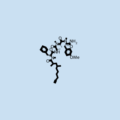 C#CCCCCC(C)CC(C)C(=O)N(C)[C@@H](Cc1ccccc1)C(=O)N[C@@H](C)C(=O)N(C)[C@@H](C)C(=O)N(C)[C@@H](Cc1ccc(OC)cc1)C(N)=O